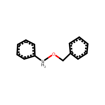 c1ccc(CO[SiH2]c2ccccc2)cc1